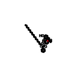 CCCCCCCCCCCCCCCCCC(=O)O[C@H](C(=O)OC1=CC[C@@]2(O)[C@H]3Cc4ccc(O)c5c4[C@@]2(CCN3C)[C@H]1O5)c1ccccc1